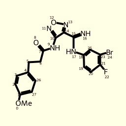 COc1ccc(CCC(=O)Nc2nonc2C(=N)Nc2ccc(F)c(Br)c2)cc1